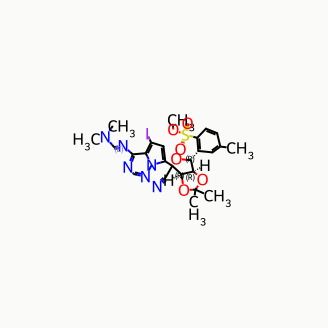 COS(=O)(=O)c1ccc(C)cc1[C@H]1OC(C#N)(c2cc(I)c3c(/N=C/N(C)C)ncnn23)[C@@H]2OC(C)(C)O[C@H]12